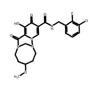 COC1CCN2CN(CC1)n1cc(C(=O)NCc3cccc(Cl)c3F)c(=O)c(O)c1C2=O